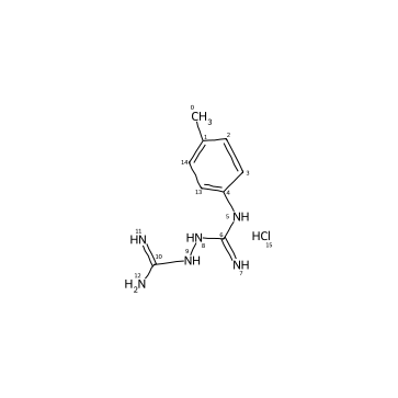 Cc1ccc(NC(=N)NNC(=N)N)cc1.Cl